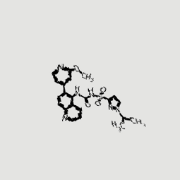 COc1cc(-c2ccc3ncccc3c2NC(=O)NS(=O)(=O)c2ccn(C(C)C)n2)ccn1